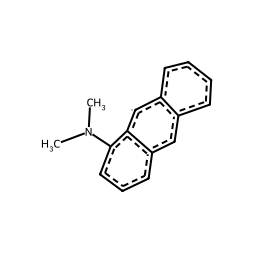 CN(C)c1cccc2cc3ccccc3[c]c12